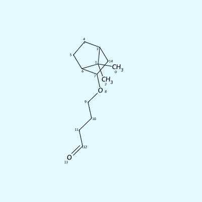 CC1(C)C2[CH]CC1C(OCCC[C]=O)C2